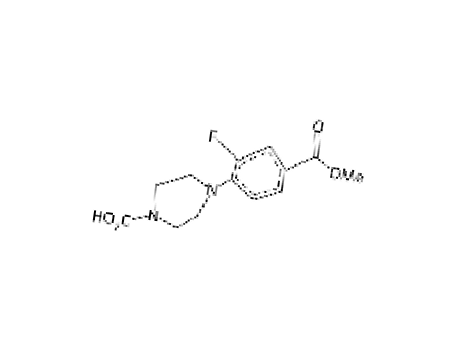 COC(=O)c1ccc(N2CCN(C(=O)O)CC2)c(F)c1